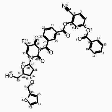 N#Cc1ccc(OC(=O)c2ccccc2)nc1OC(=O)c1cccc(C(=O)n2c(=O)c(F)cn([C@H]3C[C@H](OCc4cccs4)[C@@H](CO)O3)c2=O)c1